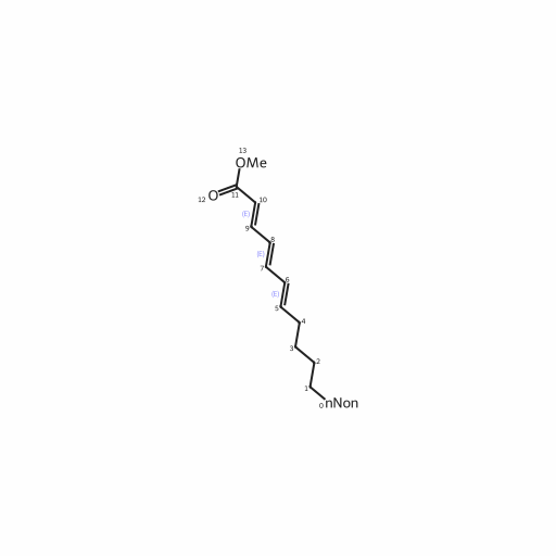 CCCCCCCCCCCCC/C=C/C=C/C=C/C(=O)OC